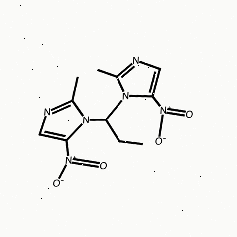 CCC(n1c([N+](=O)[O-])cnc1C)n1c([N+](=O)[O-])cnc1C